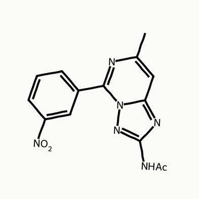 CC(=O)Nc1nc2cc(C)nc(-c3cccc([N+](=O)[O-])c3)n2n1